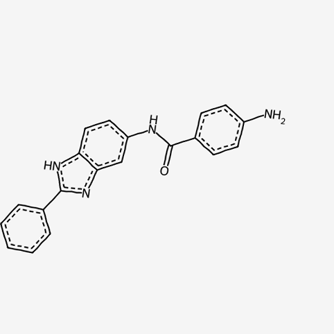 Nc1ccc(C(=O)Nc2ccc3[nH]c(-c4ccccc4)nc3c2)cc1